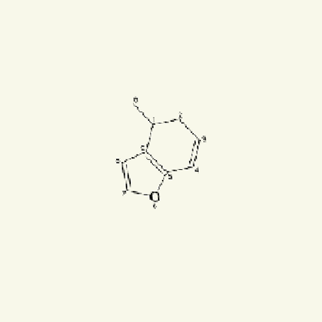 CC1CC=Cc2occc21